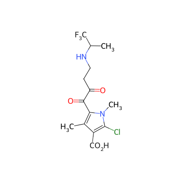 Cc1c(C(=O)O)c(Cl)n(C)c1C(=O)C(=O)CCNC(C)C(F)(F)F